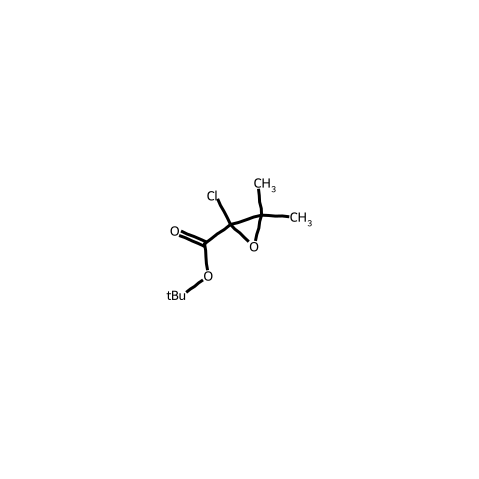 CC(C)(C)OC(=O)C1(Cl)OC1(C)C